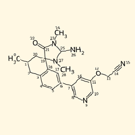 CC1Cc2ccc(-c3cncc(OCC#N)c3)cc2C2(C1)C(=O)N(C)C(N)N2C